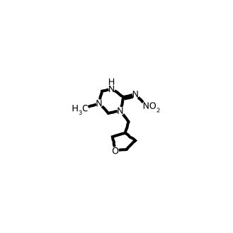 CN1CN/C(=N/[N+](=O)[O-])N(CC2CCOC2)C1